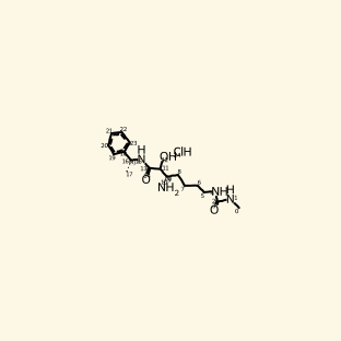 CNC(=O)NCCCC[C@H](N)C(O)C(=O)N[C@H](C)c1ccccc1.Cl